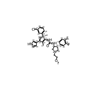 COCCN1C[C@@H](NC(=O)NC2=C(C)C(c3cn[nH]c3)=N[N+]2(C)c2cccc(Cl)c2)[C@H](c2ccc(F)c(F)c2)C1